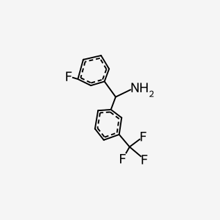 NC(c1cccc(F)c1)c1cccc(C(F)(F)F)c1